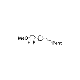 CCCC(C)CCCC1CC=C(C2CCC(OC)[C@H](F)C2F)CC1